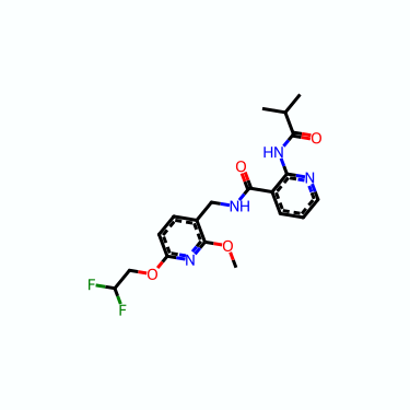 COc1nc(OCC(F)F)ccc1CNC(=O)c1cccnc1NC(=O)C(C)C